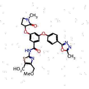 COCc1nc(NC(=O)c2cc(Oc3ccc(-c4nnc(C)o4)cc3)cc(OC3CCN(C)C3=O)c2)sc1C(=O)O